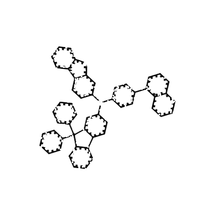 c1ccc(C2(c3ccccc3)c3ccccc3-c3ccc(N(c4ccc(-c5cccc6ccccc56)cc4)c4ccc5c(c4)oc4ccccc45)cc32)cc1